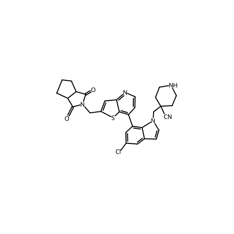 N#CC1(Cn2ccc3cc(Cl)cc(-c4ccnc5cc(CN6C(=O)C7CCCC7C6=O)sc45)c32)CCNCC1